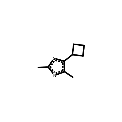 Cc1nc(C)c(C2CCC2)s1